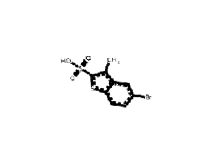 Cc1c(S(=O)(=O)O)sc2ccc(Br)cc12